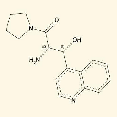 N[C@H](C(=O)N1CCCC1)[C@H](O)c1ccnc2ccccc12